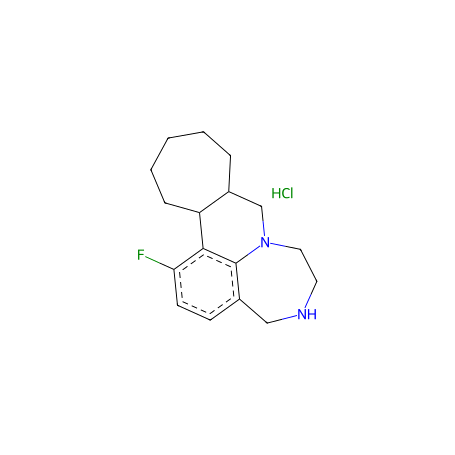 Cl.Fc1ccc2c3c1C1CCCCCC1CN3CCNC2